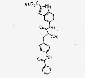 CCOC(=O)c1cc2cc(NC(=O)C(N)Cc3ccc(NC(=O)c4ccccc4)cc3)ccc2[nH]1